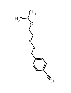 C#Cc1ccc(CSSCCOC(C)C)cc1